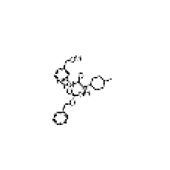 CC1CCC([C@H](NC(=O)OCc2ccccc2)C(=O)Nc2cc(CO)ccn2)CC1